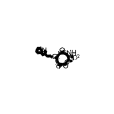 CC[C@H]1OC(=O)[C@@](C)(F)C(=O)[C@H](C)C[C@](C)(OC/C=C/c2cnc3ccccc3c2)C[C@@H](C)C(=O)[C@H](C)[C@@H](N)[C@]1(C)OC=O